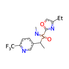 CCc1coc(S(=O)(=NC)C(C)c2ccc(C(F)(F)F)nc2)n1